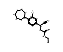 CCOC(=O)CC(C#N)c1ccc(C2CCCCCC2)c(Cl)c1